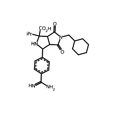 CC(C)C1(C(=O)O)NC(c2ccc(C(=N)N)cc2)C2C(=O)N(CC3CCCCC3)C(=O)C21